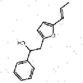 C/C=C/c1ccc(CC(O)c2ccccc2)o1